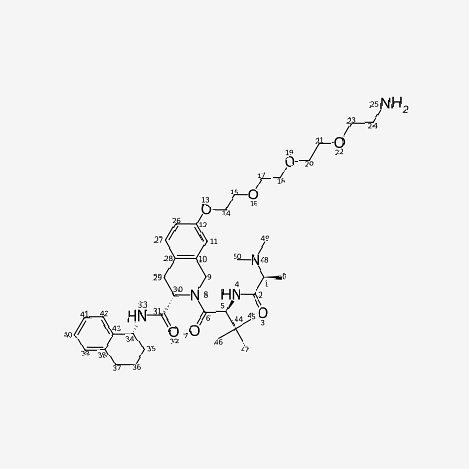 C[C@@H](C(=O)N[C@H](C(=O)N1Cc2cc(OCCOCCOCCOCCN)ccc2C[C@H]1C(=O)N[C@@H]1CCCc2ccccc21)C(C)(C)C)N(C)C